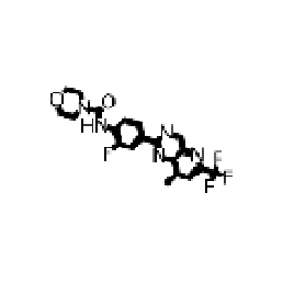 Cc1cc(C(F)(F)F)nc2cnc(-c3ccc(NC(=O)N4CCOCC4)c(F)c3)nc12